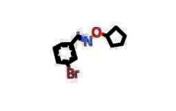 Brc1cccc(/[C]=N/OC2CCCC2)c1